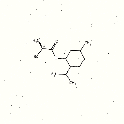 CC1CCC(C(C)C)C(OC(=O)[C@H](C)Br)C1